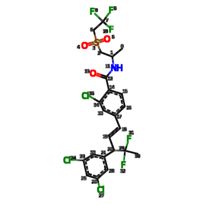 CC(CS(=O)(=O)CC(F)(F)F)NC(=O)c1ccc(/C=C/C(c2cc(Cl)cc(Cl)c2)C(C)(F)F)cc1Cl